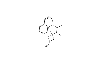 C=CC1CC(C)(C(C)C(C)c2cncc3ccccc23)C1